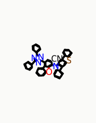 N#Cc1cc(-c2nc(-c3ccccc3)nc(-c3ccccc3)n2)c2c(oc3ccccc32)c1-n1c2ccccc2c2cc3sc4ccccc4c3cc21